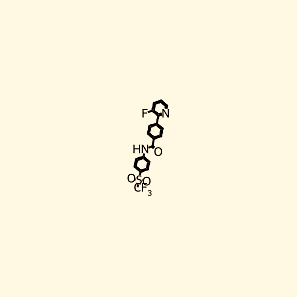 O=C(Nc1ccc(S(=O)(=O)C(F)(F)F)cc1)c1ccc(-c2ncccc2F)cc1